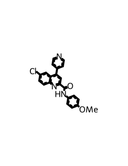 COc1ccc(NC(=O)c2cc(-c3ccncc3)c3cc(Cl)ccc3n2)cc1